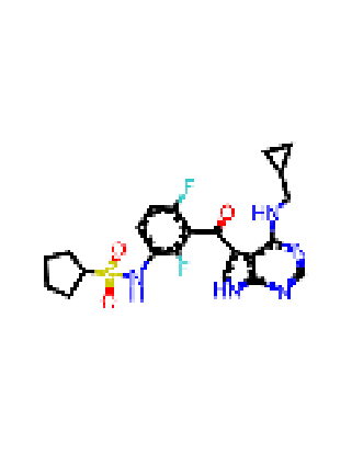 O=C(c1c(F)ccc(NS(=O)(=O)C2CCCC2)c1F)c1c[nH]c2ncnc(NCC3CC3)c12